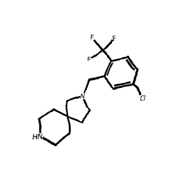 FC(F)(F)c1ccc(Cl)cc1CN1CCC2(CCNCC2)C1